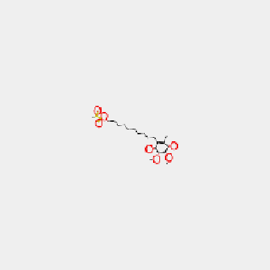 COC1=C(OC)C(=O)C(CCCCCCCCCCOS(C)(=O)=O)=C(C)C1=O